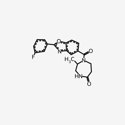 CC1CNC(=O)CCN1C(=O)c1ccc2oc(-c3cccc(F)c3)nc2c1